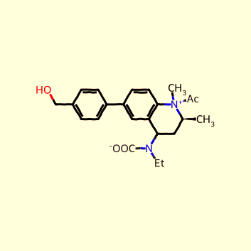 CCN(C(=O)[O-])C1C[C@H](C)[N@+](C)(C(C)=O)c2ccc(-c3ccc(CO)cc3)cc21